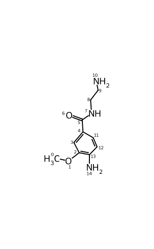 COc1cc(C(=O)NCCN)ccc1N